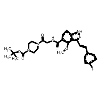 COc1c(C(=O)NCC(=O)N2CCN(C(=O)OC(C)(C)C)CC2)ccc2[nH]nc(C=Cc3ccc(F)cc3)c12